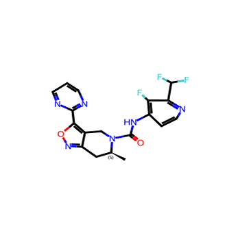 C[C@H]1Cc2noc(-c3ncccn3)c2CN1C(=O)Nc1ccnc(C(F)F)c1F